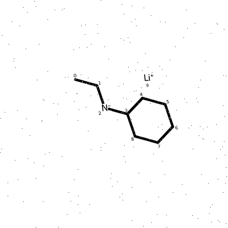 CC[N-]C1CCCCC1.[Li+]